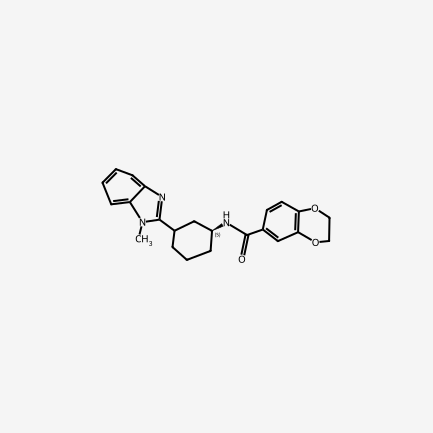 Cn1c(C2CCC[C@H](NC(=O)c3ccc4c(c3)OCCO4)C2)nc2ccccc21